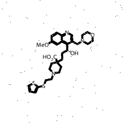 COc1ccc2ncc(CN3CCOCC3)c([C@H](O)CCC3(C(=O)O)CCN(CCSc4cccs4)CC3)c2c1